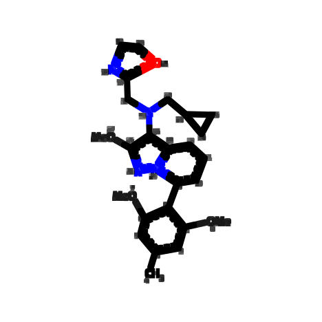 COc1cc(C)cc(OC)c1-c1cccc2c(N(Cc3ncco3)CC3CC3)c(OC)nn12